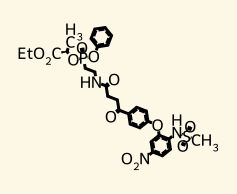 CCOC(=O)[C@@H](C)OP(=O)(CCNC(=O)CCC(=O)c1ccc(Oc2cc([N+](=O)[O-])ccc2NS(C)(=O)=O)cc1)Oc1ccccc1